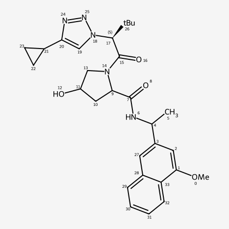 COc1cc(C(C)NC(=O)C2CC(O)CN2C(=O)[C@@H](n2cc(C3CC3)nn2)C(C)(C)C)cc2ccccc12